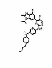 CCCCN1CCC([C@H](C)c2ccc(Nc3ncc(F)c(-c4cc(F)c5nc(C)n(C(C)C)c5c4)n3)nc2)CC1